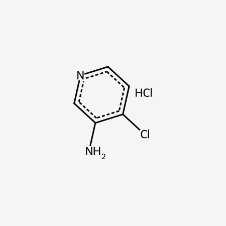 Cl.Nc1cnccc1Cl